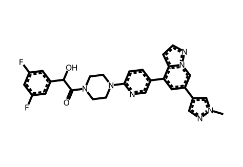 Cn1cc(-c2cc(-c3ccc(N4CCN(C(=O)C(O)c5cc(F)cc(F)c5)CC4)nc3)c3ccnn3c2)cn1